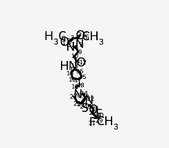 COc1cc(OC)nc(CCC(=O)N[C@H]2CC[C@H](CCN3CCc4sc(OCC(C)(F)F)nc4C3)CC2)n1